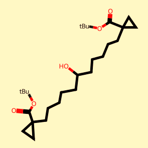 CC(C)(C)OC(=O)C1(CCCCCC(O)CCCCCC2(C(=O)OC(C)(C)C)CC2)CC1